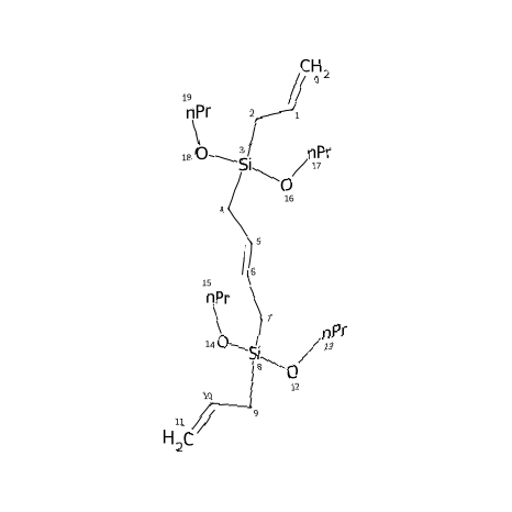 C=CC[Si](CC=CC[Si](CC=C)(OCCC)OCCC)(OCCC)OCCC